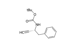 C#C[C@@H](Cc1ccccc1)NC(=O)OC(C)(C)C